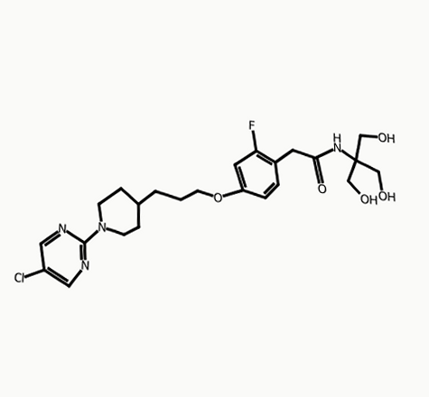 O=C(Cc1ccc(OCCCC2CCN(c3ncc(Cl)cn3)CC2)cc1F)NC(CO)(CO)CO